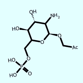 CC(=O)CO[C@H]1OC(COP(=O)(O)O)[C@@H](O)[C@H](O)C1N